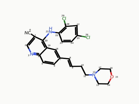 N#Cc1cnc2ccc(C=CCCN3CCOCC3)cc2c1Nc1ccc(Cl)cc1Cl